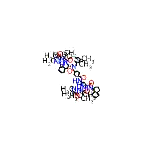 CN[C@@H](C)C(=O)N[C@H](C(=O)N1Cc2ccccc2C[C@H]1CN(Cc1cccc(C)c1C)C(=O)c1ccc(C(=O)N[C@H]2C[C@@H](C(=O)N[C@@H]3CCCc4ccccc43)N(C(=O)[C@@H](NC(=O)[C@H](C)NC)C(C)(C)C)C2)cc1)C(C)(C)C